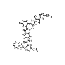 Cc1cnc(N2CC3(CCOCC3)C2)c(C(=O)Nc2ccc(C(=O)N3CCc4cc(C(=O)Nc5nnc(C)s5)sc4-c4ccc(F)cc43)cc2)c1